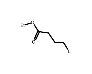 [Li][CH2]CCC(=O)OCC